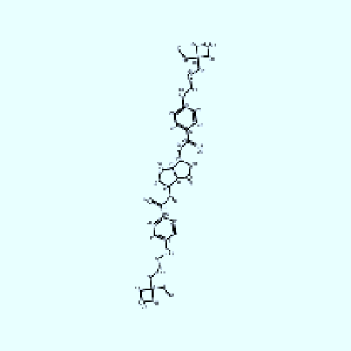 CCC1(COCOc2ccc(C(=O)OC3COC4C(OC(=O)c5ccc(OCOCC6(CC)COC6)cc5)COC34)cc2)COC1